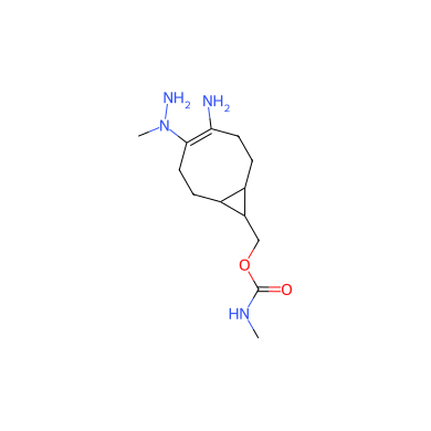 CNC(=O)OCC1C2CC/C(N)=C(/N(C)N)CCC21